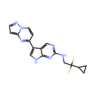 FC(F)(CNc1ncc2c(-c3ccn4nccc4n3)c[nH]c2n1)C1CC1